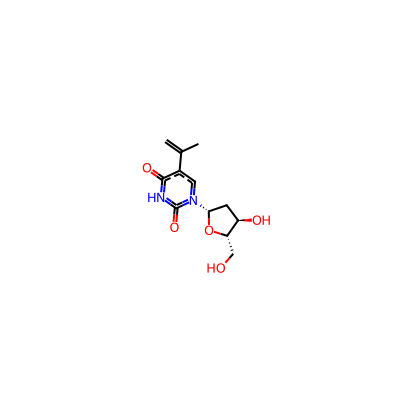 C=C(C)c1cn([C@@H]2C[C@@H](O)[C@H](CO)O2)c(=O)[nH]c1=O